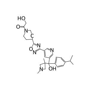 CC(C)c1ccc(C(O)(c2cncc(-c3noc(C4CCN(C(=O)CO)CC4)n3)c2)C2(C)CN(C)C2)cc1